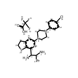 CC(C)C(N)C(N)c1nc(N2CCN(c3ccc(Cl)cc3)CC2)nc2c1SCC2.O=C(O)C(F)(F)F